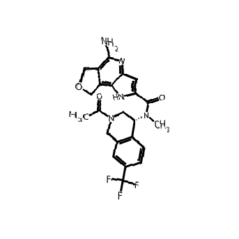 CC(=O)N1Cc2cc(C(F)(F)F)ccc2[C@@H](N(C)C(=O)c2cc3nc(N)c4c(c3[nH]2)COC4)C1